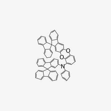 C1=C2C(=CCC1)C1(c3ccccc32)c2ccccc2-c2cc3c(cc21)Oc1c(cccc1N(c1ccccc1)c1ccc2c(c1)C1(c4ccccc4-c4ccccc41)c1ccccc1-2)O3